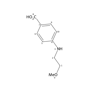 COCCNc1ccc(C(=O)O)cc1